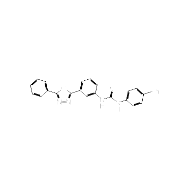 CC(C)c1ccc(NC(=O)Nc2cccc(-c3nnc(-c4ccccc4)o3)c2)cc1